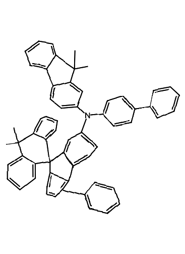 CC1(C)c2ccccc2-c2ccc(N(c3ccc(-c4ccccc4)cc3)c3ccc4c(c3)C3(c5ccccc5C(C)(C)c5ccccc53)c3cccc(-c5ccccc5)c3-4)cc21